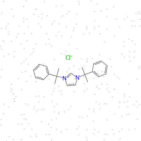 CC(C)(c1ccccc1)n1cc[n+](C(C)(C)c2ccccc2)c1.[Cl-]